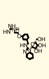 N=C(N)NCCOc1cccc(CNc2nc3ccccc3n2[C@@H]2O[C@H](CO)[C@@H](O)[C@H]2O)c1